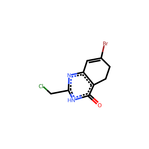 O=c1[nH]c(CCl)nc2c1CCC(Br)=C2